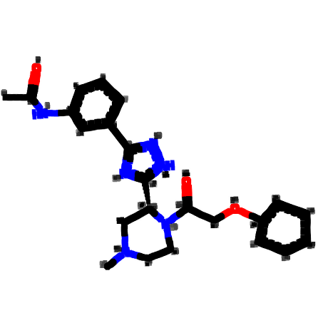 CC(=O)Nc1cccc(-c2n[nH]c([C@H]3CN(C)CCN3C(=O)COc3ccccc3)n2)c1